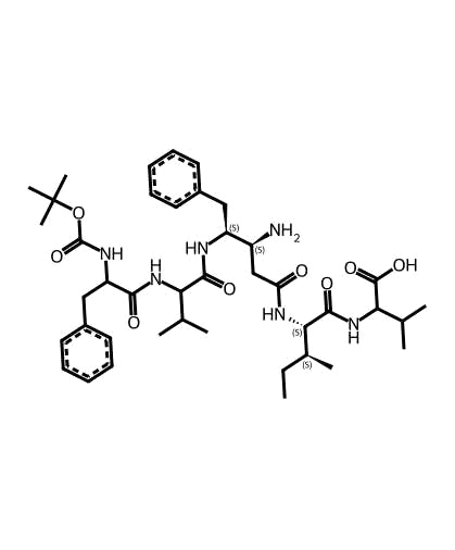 CC[C@H](C)[C@H](NC(=O)C[C@H](N)[C@H](Cc1ccccc1)NC(=O)C(NC(=O)C(Cc1ccccc1)NC(=O)OC(C)(C)C)C(C)C)C(=O)NC(C(=O)O)C(C)C